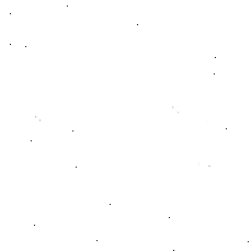 CC(C)(C)OC(=O)n1ccc2cc(-c3ccncc3)ccc21